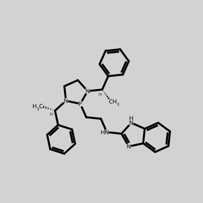 C[C@@H](c1ccccc1)N1CCN([C@@H](C)c2ccccc2)P1CCNc1nc2ccccc2[nH]1